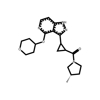 C[C@H]1CCN(C(=O)C2CC2c2n[nH]c3ccnc(OC4CCOCC4)c23)C1